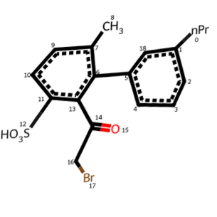 CCCc1cccc(-c2c(C)ccc(S(=O)(=O)O)c2C(=O)CBr)c1